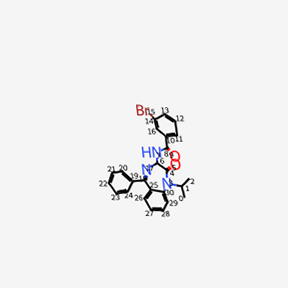 CC(C)N1C(=O)C(NC(=O)c2cccc(Br)c2)N=C(c2ccccc2)c2ccccc21